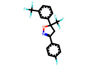 Fc1ccc(C2=NOC(c3cccc(C(F)(F)F)c3)(C(F)(F)F)C2)cc1